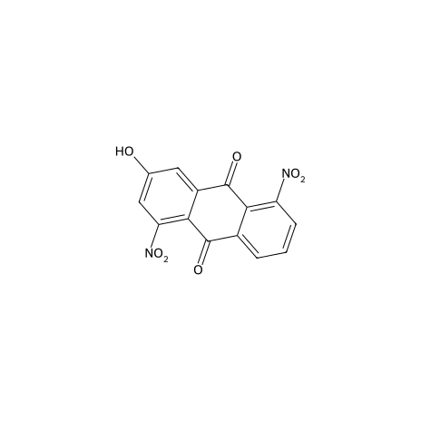 O=C1c2cc(O)cc([N+](=O)[O-])c2C(=O)c2cccc([N+](=O)[O-])c21